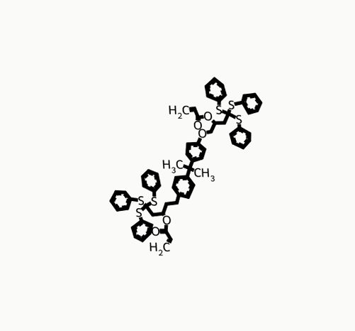 C=CC(=O)OC(CCc1ccc(C(C)(C)c2ccc(OCC(CC(Sc3ccccc3)(Sc3ccccc3)Sc3ccccc3)OC(=O)C=C)cc2)cc1)CC(Sc1ccccc1)(Sc1ccccc1)Sc1ccccc1